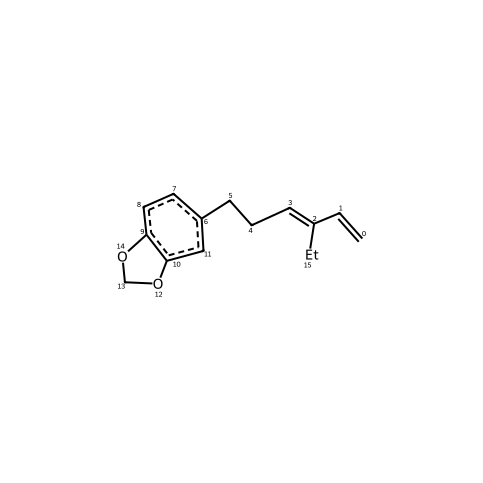 C=C/C(=C/CCc1ccc2c(c1)OCO2)CC